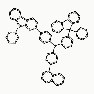 c1ccc(-n2c3ccccc3c3ccc(-c4ccc(N(c5ccc(-c6cccc7ccccc67)cc5)c5cccc(C6(c7ccccc7)c7ccccc7-c7ccccc76)c5)cc4)cc32)cc1